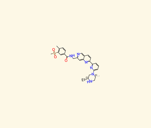 CC[C@H]1CN(c2cccc(-c3ccc4cnc(CNC(=O)c5ccc(C)c(S(C)(=O)=O)c5)cc4n3)n2)[C@H](C)CN1